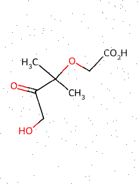 CC(C)(OCC(=O)O)C(=O)CO